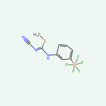 CS/C(=N\C#N)Nc1cccc(S(F)(F)(F)(F)F)c1